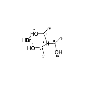 Br.CC(O)N(C(C)O)C(C)O